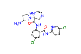 NC1CCN(C2(C(=O)Nc3ccc(Cl)cc3C(=O)Nc3ccc(Cl)cn3)C=NC=CN2)C1